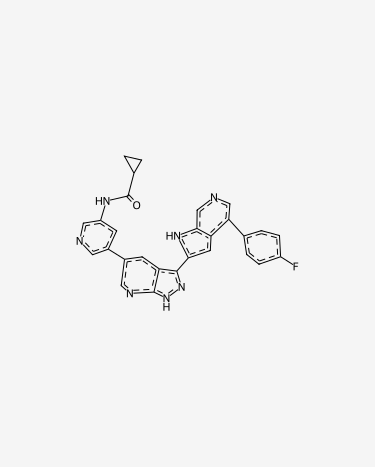 O=C(Nc1cncc(-c2cnc3[nH]nc(-c4cc5c(-c6ccc(F)cc6)cncc5[nH]4)c3c2)c1)C1CC1